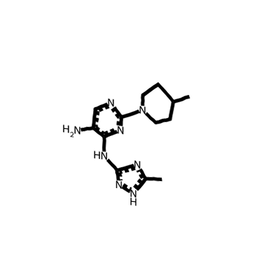 Cc1nc(Nc2nc(N3CCC(C)CC3)ncc2N)n[nH]1